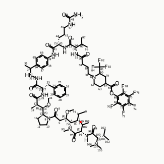 CC[C@H](C)[C@@H]([C@@H](CC(=O)N1CCC[C@H]1[C@H](OC)[C@@H](C)C(=O)N[C@@H](Cc1ccccc1)C(=O)NNC(C)c1ccc(NC(=O)[C@H](CCCNC(N)=O)NC(=O)[C@@H](NC(=O)CCCN2CCC(C(=O)Oc3c(F)c(F)c(F)c(F)c3F)CC2C(F)(F)F)C(C)C)cc1)OC)N(C)C(=O)[C@@H](NC(=O)[C@H](C(C)C)N(C)C)C(C)C